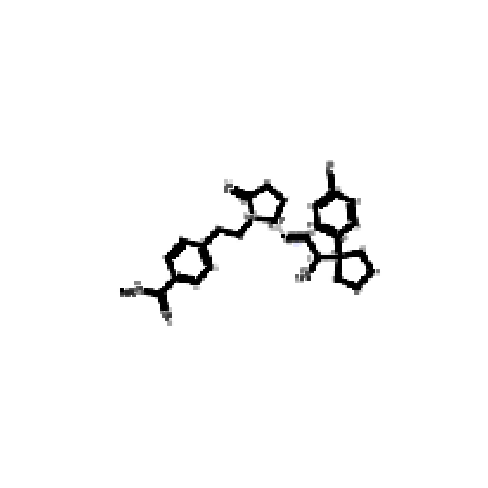 COC(=O)c1ccc(CCN2C(=O)CC[C@@H]2/C=C/C(O)C2(c3ccc(F)cc3)CCCC2)cc1